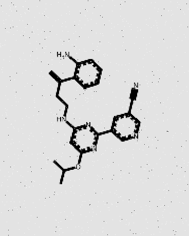 C=C(CCNc1cc(OC(C)C)nc(-c2cncc(C#N)c2)n1)c1ccccc1N